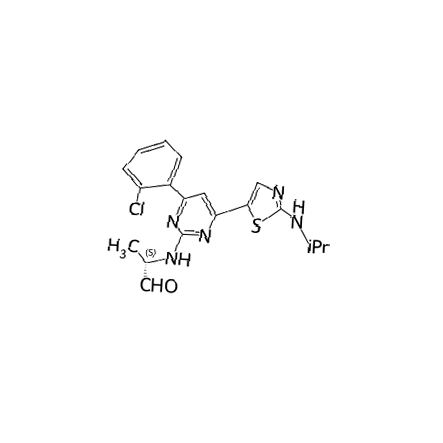 CC(C)Nc1ncc(-c2cc(-c3ccccc3Cl)nc(N[C@@H](C)C=O)n2)s1